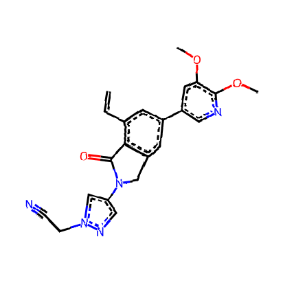 C=Cc1cc(-c2cnc(OC)c(OC)c2)cc2c1C(=O)N(c1cnn(CC#N)c1)C2